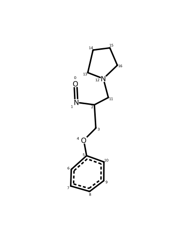 O=NC(COc1ccccc1)CN1CCCC1